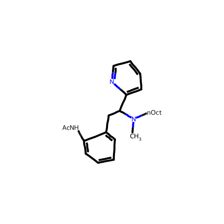 CCCCCCCCN(C)C(Cc1ccccc1NC(C)=O)c1ccccn1